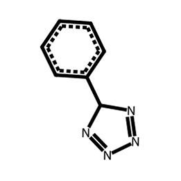 c1ccc(C2N=NN=N2)cc1